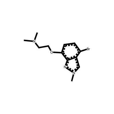 CN(C)CCOc1ccc(Br)c2cn(C)nc12